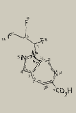 O=C(O)c1cc2cnn(C(F)C(F)F)c2cn1